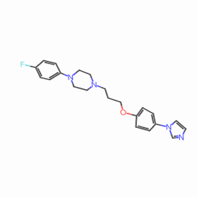 Fc1ccc(N2CCN(CCCOc3ccc(-n4ccnc4)cc3)CC2)cc1